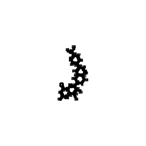 Cc1cc(=O)n2nc(N3CCc4ncc(-c5ccc(N(C)C)nc5)cc4C3)c(C)c(C)c2n1